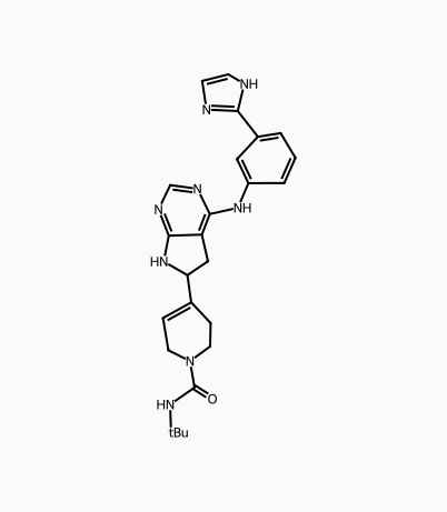 CC(C)(C)NC(=O)N1CC=C(C2Cc3c(Nc4cccc(-c5ncc[nH]5)c4)ncnc3N2)CC1